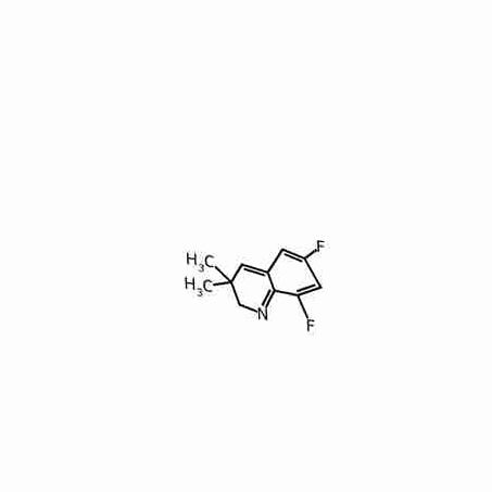 CC1(C)C=c2cc(F)cc(F)c2=NC1